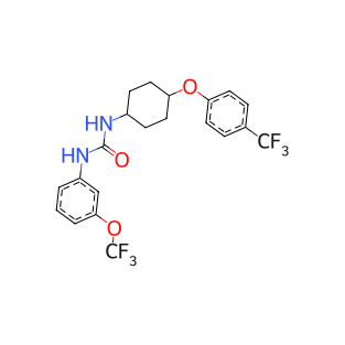 O=C(Nc1cccc(OC(F)(F)F)c1)NC1CCC(Oc2ccc(C(F)(F)F)cc2)CC1